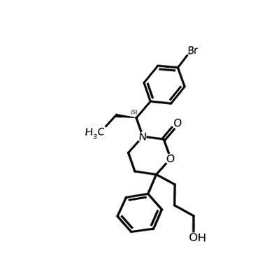 CC[C@@H](c1ccc(Br)cc1)N1CCC(CCCO)(c2ccccc2)OC1=O